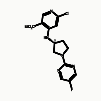 CCOC(=O)c1cnc(Cl)cc1N[C@H]1CCN(c2ncc(F)cn2)C1